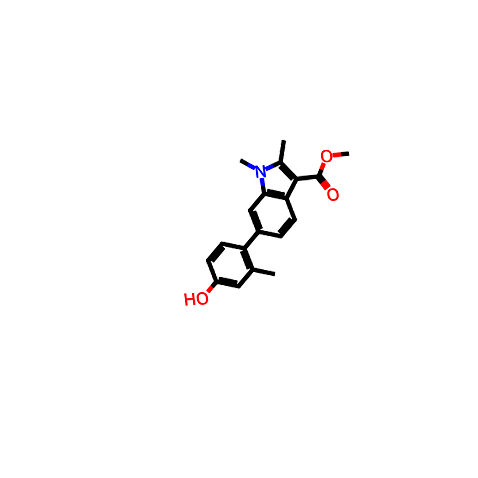 COC(=O)c1c(C)n(C)c2cc(-c3ccc(O)cc3C)ccc12